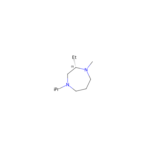 CC[C@H]1CN(C(C)C)CCCN1C